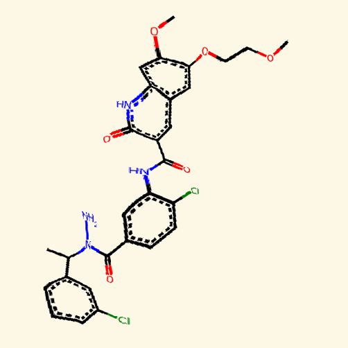 COCCOc1cc2cc(C(=O)Nc3cc(C(=O)N(N)C(C)c4cccc(Cl)c4)ccc3Cl)c(=O)[nH]c2cc1OC